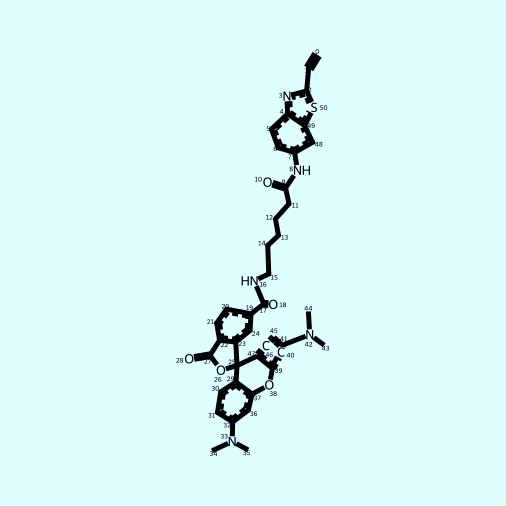 C#Cc1nc2ccc(NC(=O)CCCCCNC(=O)c3ccc4c(c3)C3(OC4=O)c4ccc(N(C)C)cc4Oc4cc(N(C)C)ccc43)cc2s1